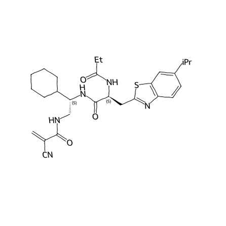 C=C(C#N)C(=O)NC[C@@H](NC(=O)[C@H](Cc1nc2ccc(C(C)C)cc2s1)NC(=O)CC)C1CCCCC1